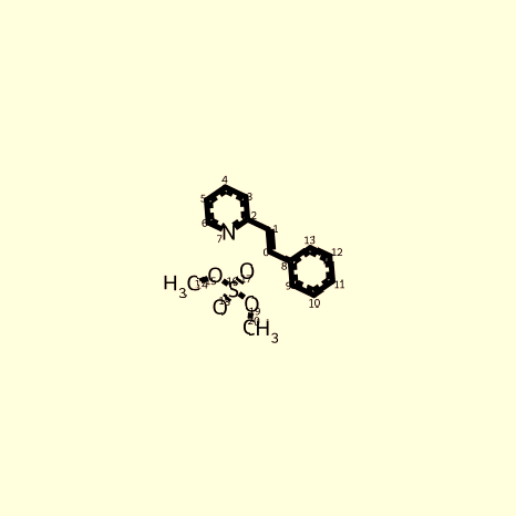 C(=Cc1ccccn1)c1ccccc1.COS(=O)(=O)OC